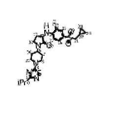 CC(C)c1nsc(N2CCC(N3CC[C@H](Nc4ccc(S(=O)(=O)CC5CC5)cc4F)C3=O)CC2)n1